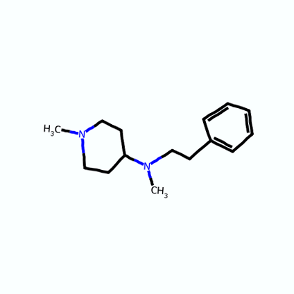 CN1CCC(N(C)CCc2ccccc2)CC1